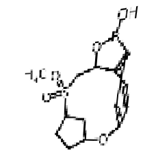 C.O=S1(=O)CC2OB(O)c3cc(ccc32)OC2CCC1C2